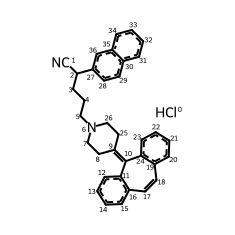 Cl.N#CC(CCCN1CCC(=C2c3ccccc3C=Cc3ccccc32)CC1)c1ccc2ccccc2c1